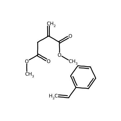 C=C(CC(=O)OC)C(=O)OC.C=Cc1ccccc1